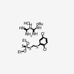 CCCCNC(=N)NC(=N)N.CCOP(=S)(OCC)SCSc1cc(Cl)ccc1Cl.Cl